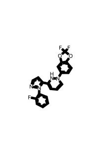 Fc1ccccc1-n1nccc1C1=CC=CN(c2ccc3c(c2)OC(F)(F)O3)N1